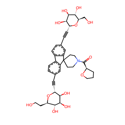 O=C([C@H]1CCCO1)N1CCC2(CC1)c1cc(C#C[C@H]3O[C@H](CO)[C@@H](O)[C@H](O)[C@@H]3O)ccc1-c1ccc(C#C[C@H]3O[C@H](CCO)[C@@H](O)[C@H](O)[C@@H]3O)cc12